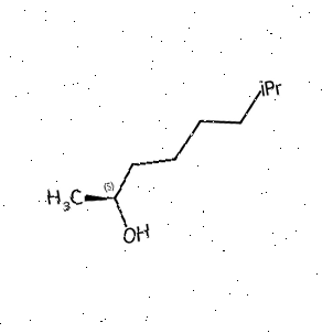 CC(C)CCCC[C@H](C)O